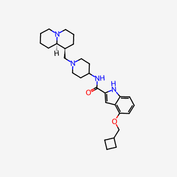 O=C(NC1CCN(C[C@@H]2CCCN3CCCC[C@H]23)CC1)c1cc2c(OCC3CCC3)cccc2[nH]1